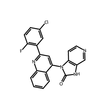 O=c1[nH]c2cnccc2n1-c1cc(-c2cc(Cl)ccc2F)nc2ccccc12